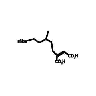 CCCCCCCCCCCC(C)CC/C(=C/C(=O)O)C(=O)O